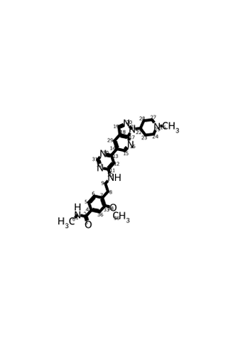 CNC(=O)c1ccc(CCNc2cc(-c3cnc4c(cnn4C4CCN(C)CC4)c3)ncn2)c(OC)c1